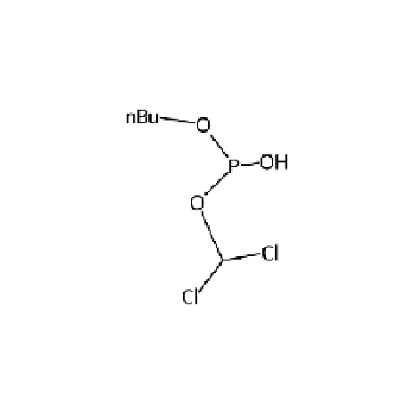 CCCCOP(O)OC(Cl)Cl